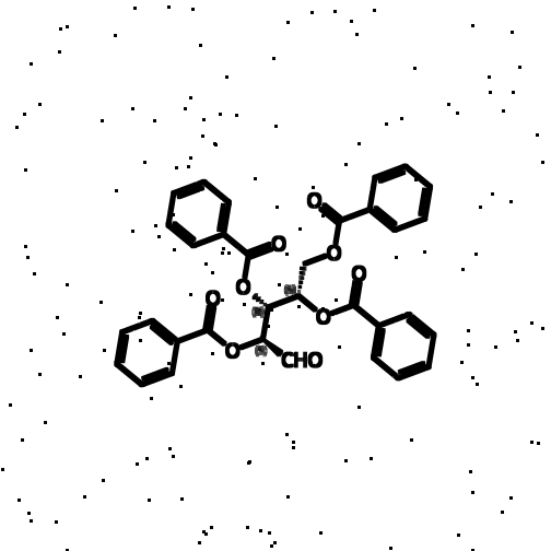 O=C[C@@H](OC(=O)c1ccccc1)[C@H](OC(=O)c1ccccc1)[C@H](COC(=O)c1ccccc1)OC(=O)c1ccccc1